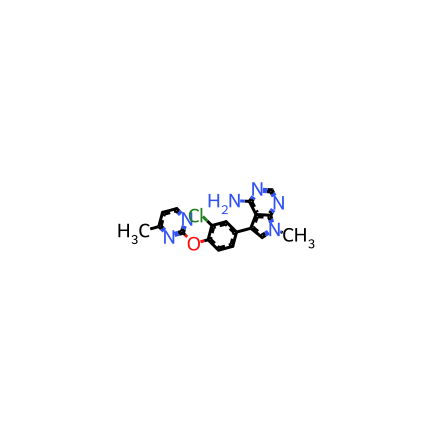 Cc1ccnc(Oc2ccc(-c3cn(C)c4ncnc(N)c34)cc2Cl)n1